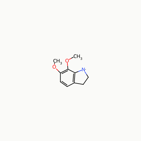 COc1ccc2c(c1OC)[N]CC2